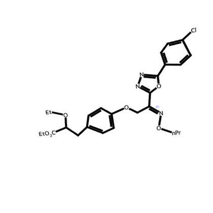 CCCO/N=C(\COc1ccc(CC(OCC)C(=O)OCC)cc1)c1nnc(-c2ccc(Cl)cc2)o1